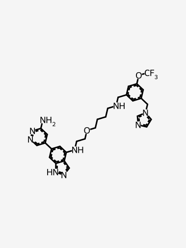 Nc1cc(-c2cc(NCCOCCCCNCc3cc(Cn4ccnc4)cc(OC(F)(F)F)c3)c3cn[nH]c3c2)cnn1